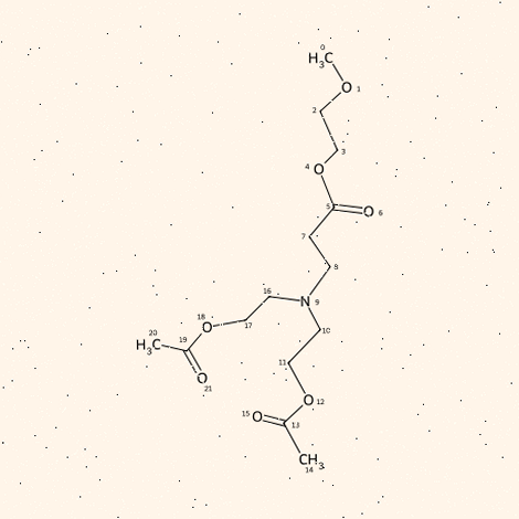 COCCOC(=O)CCN(CCOC(C)=O)CCOC(C)=O